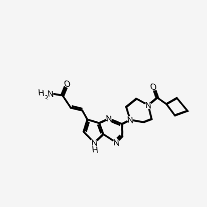 NC(=O)/C=C/c1c[nH]c2ncc(N3CCN(C(=O)C4CCC4)CC3)nc12